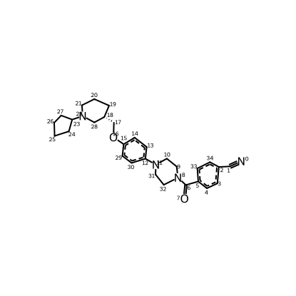 N#Cc1ccc(C(=O)N2CCN(c3ccc(OC[C@H]4CCCN(C5CCCC5)C4)cc3)CC2)cc1